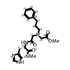 CNC(=O)[C@H](Cc1c[nH]cn1)NC(=O)CN(CCCc1ccccc1)CC(=O)OC